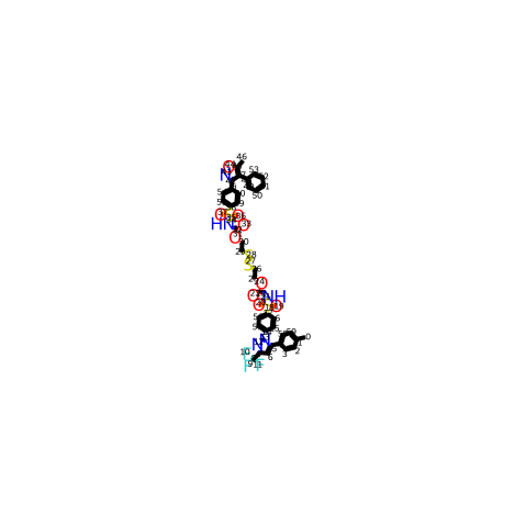 Cc1ccc(-c2cc(C(F)(F)F)nn2-c2ccc(S(=O)(=O)NC(=O)OCCSSCCOC(=O)NS(=O)(=O)c3ccc(-c4noc(C)c4-c4ccccc4)cc3)cc2)cc1